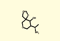 B[C@H](C)C1COCC(CO)(OC)C1O